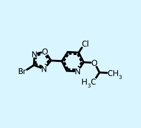 CC(C)Oc1ncc(-c2nc(Br)no2)cc1Cl